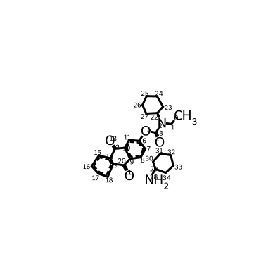 CCN(C(=O)Oc1ccc2c(c1)C(=O)c1ccccc1C2=O)C1CCCCC1.NC1CCCCC1